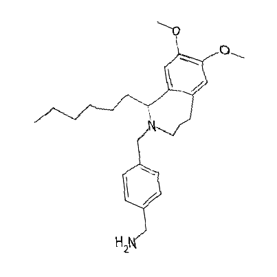 CCCCCCC1c2cc(OC)c(OC)cc2CCN1Cc1ccc(CN)cc1